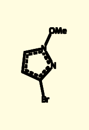 COn1ccc(Br)n1